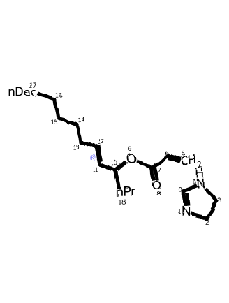 C1=NCCN1.C=CC(=O)OC(/C=C/CCCCCCCCCCCCCC)CCC